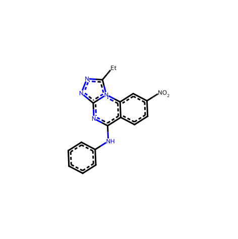 CCc1nnc2nc(Nc3ccccc3)c3ccc([N+](=O)[O-])cc3n12